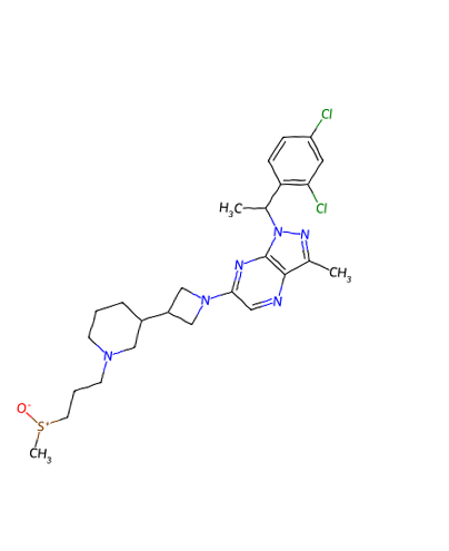 Cc1nn(C(C)c2ccc(Cl)cc2Cl)c2nc(N3CC(C4CCCN(CCC[S+](C)[O-])C4)C3)cnc12